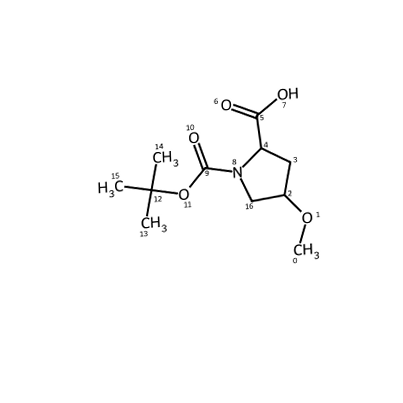 COC1CC(C(=O)O)N(C(=O)OC(C)(C)C)C1